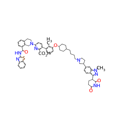 Cc1c(OC2CCC(CCCCN3CCC(c4ccc5c(C6CCC(=O)NC6=O)nn(C)c5c4)C3)CC2)cccc1-c1ccc(N2CCc3cccc(C(=O)Nc4nc5ccccc5s4)c3C2)nc1C(=O)O